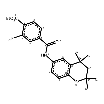 CCOC(=O)c1ccc(C(=O)Nc2ccc3c(c2)C(C)(C)CC(C)(C)S3)cc1F